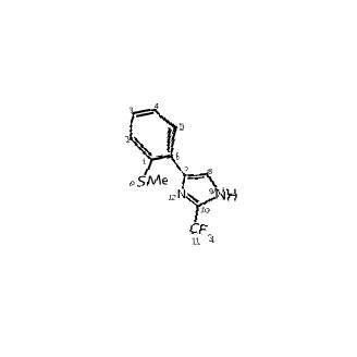 CSc1ccccc1-c1c[nH]c(C(F)(F)F)n1